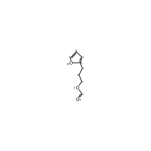 O=[C]OCCCc1ccco1